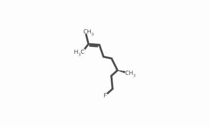 CC(C)=CCC[C@@H](C)CCF